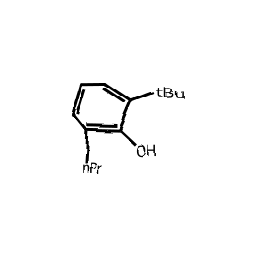 CCCc1cccc(C(C)(C)C)c1O